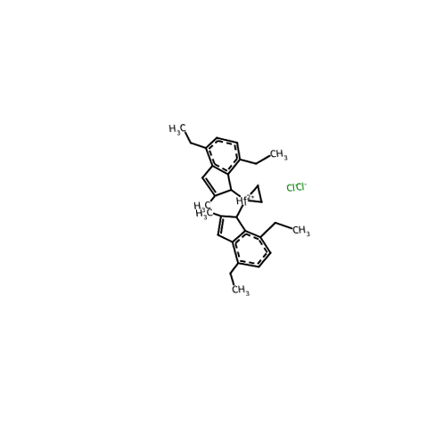 CCc1ccc(CC)c2c1C=C(C)[CH]2[Hf+2]1([CH]2C(C)=Cc3c(CC)ccc(CC)c32)[CH2][CH2]1.[Cl-].[Cl-]